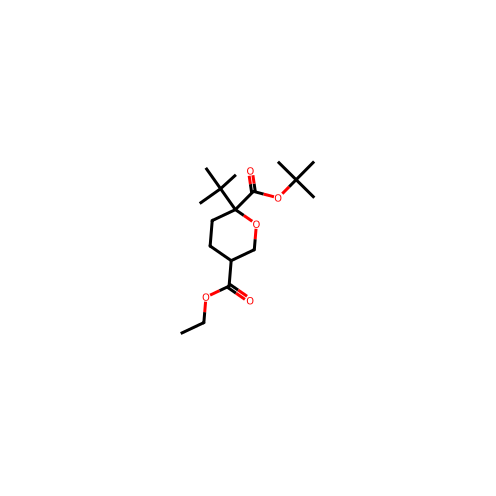 CCOC(=O)C1CCC(C(=O)OC(C)(C)C)(C(C)(C)C)OC1